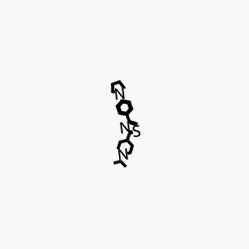 CC(C)N1CCC(c2nc(-c3ccc(N4CCCC4)cc3)cs2)CC1